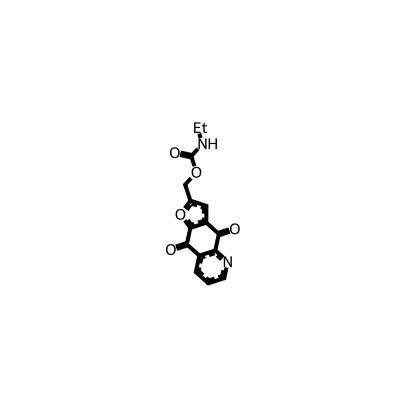 CCNC(=O)OCc1cc2c(o1)C(=O)c1cccnc1C2=O